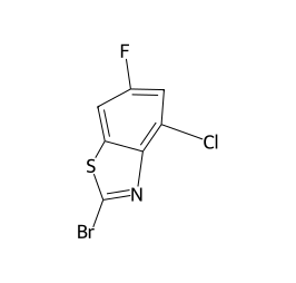 Fc1cc(Cl)c2nc(Br)sc2c1